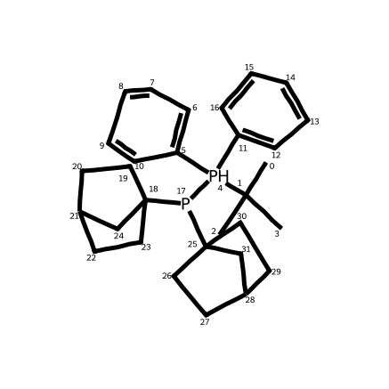 CC(C)(C)[PH](c1ccccc1)(c1ccccc1)P(C12CCC(CC1)C2)C12CCC(CC1)C2